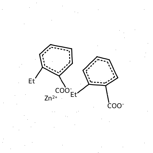 CCc1ccccc1C(=O)[O-].CCc1ccccc1C(=O)[O-].[Zn+2]